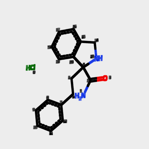 Cl.NC(=O)C1(CCc2ccccc2)NCc2ccccc21